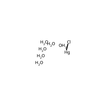 O.O.O.O.O.O.[Cl][Hg]